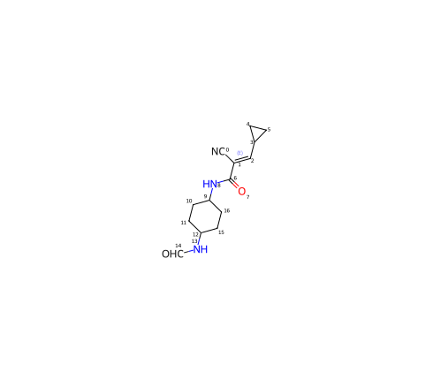 N#C/C(=C\C1CC1)C(=O)NC1CCC(NC=O)CC1